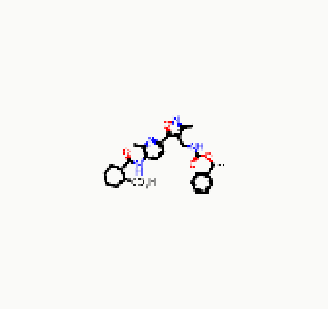 Cc1nc(-c2onc(C)c2CNC(=O)O[C@H](C)c2ccccc2)ccc1NC(=O)C1CCCCC1C(=O)O